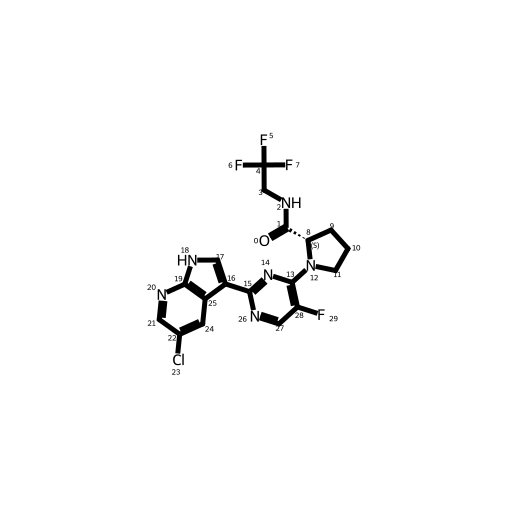 O=C(NCC(F)(F)F)[C@@H]1CCCN1c1nc(-c2c[nH]c3ncc(Cl)cc23)ncc1F